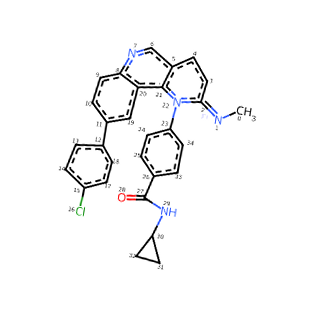 C/N=c1\ccc2cnc3ccc(-c4ccc(Cl)cc4)cc3c2n1-c1ccc(C(=O)NC2CC2)cc1